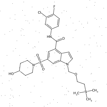 C[Si](C)(C)CCOCn1ccc2c(C(=O)Nc3ccc(F)c(Cl)c3)cc(S(=O)(=O)N3CCC(O)CC3)cc21